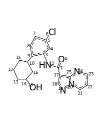 O=C(Nc1cc(Cl)ccc1C1CCCC(O)C1)c1cnn2cccnc12